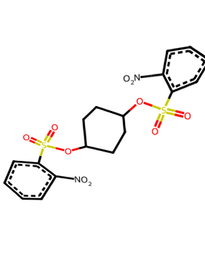 O=[N+]([O-])c1ccccc1S(=O)(=O)OC1CCC(OS(=O)(=O)c2ccccc2[N+](=O)[O-])CC1